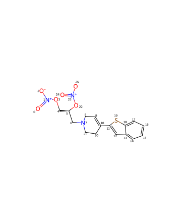 O=[N+]([O-])OC[C@H](CN1CC=C(c2cc3ccccc3s2)CC1)O[N+](=O)[O-]